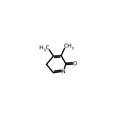 CC1=C(C)C(=O)N=CC1